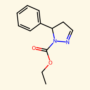 CCOC(=O)N1N=CCC1c1ccccc1